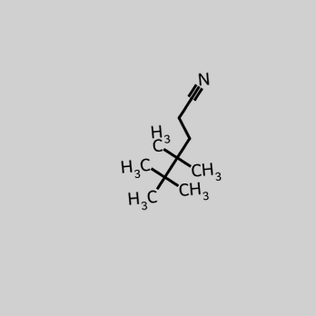 CC(C)(C)C(C)(C)CCC#N